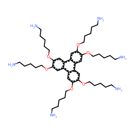 NCCCCCOc1cc2c3cc(OCCCCCN)c(OCCCCCN)cc3c3cc(OCCCCCN)c(OCCCCCN)cc3c2cc1OCCCCCN